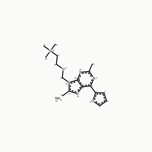 Cc1nc(-c2ccco2)c2nc(C)n(COCC[Si](C)(C)C)c2n1.N